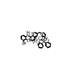 Cc1c(Br)cccc1Nc1nccc2cc(Cn3ccc(O[Si](c4ccccc4)(c4ccccc4)C(C)(C)C)c3)cnc12